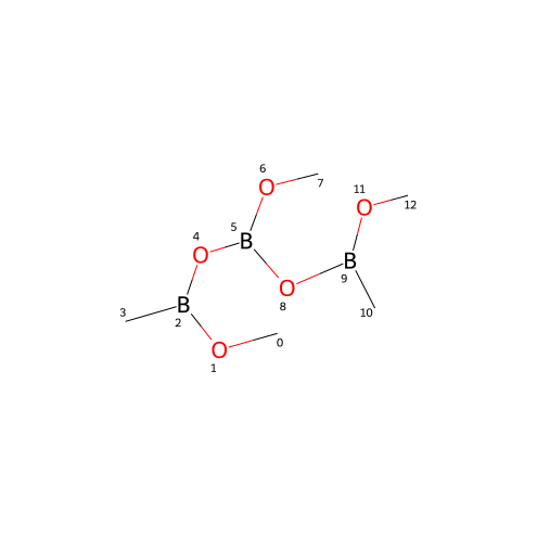 COB(C)OB(OC)OB(C)OC